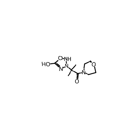 CC(C)(C(=O)N1CCOCC1)N1N=C(O)ON1